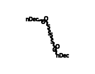 CCCCCCCCCCCCOC(=O)CCSCCSSCCSCCC(=O)OCCCCCCCCCCCC